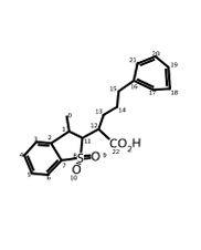 CC1c2ccccc2S(=O)(=O)C1C(CCCc1ccccc1)C(=O)O